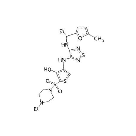 CC[C@@H](Nc1nsnc1Nc1csc(S(=O)(=O)N2CCN(CC)CC2)c1O)c1ccc(C)o1